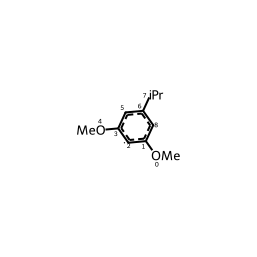 COc1[c]c(OC)cc(C(C)C)c1